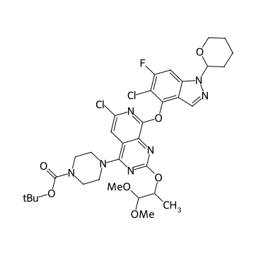 COC(OC)C(C)Oc1nc(N2CCN(C(=O)OC(C)(C)C)CC2)c2cc(Cl)nc(Oc3c(Cl)c(F)cc4c3cnn4C3CCCCO3)c2n1